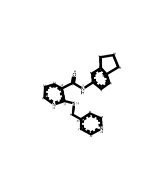 O=C(Nc1ccc2c(c1)CCC2)c1cccnc1SCc1ccncc1